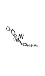 CC(=O)Nc1ccc(SC[C@@H]2CO[C@](CCc3ccc(Cl)cc3Cl)(Cn3ccnc3)O2)cc1